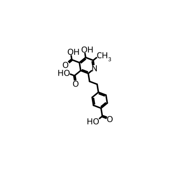 Cc1nc(CCc2ccc(C(=O)O)cc2)c(C(=O)O)c(C(=O)O)c1O